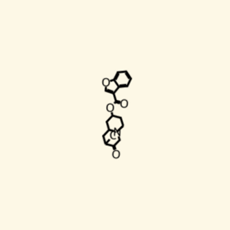 O=C(OC1CC2CC3CC(C1)N2CC3=O)c1coc2ccccc12